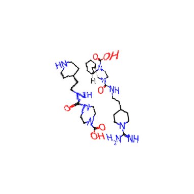 N=C(N)N1CCC(CCNC(=O)N2CCN(C(=O)O)[C@]3(C2)C2CCC[C@H]3CCC2)CC1.O=C(O)N1CCN(C(=O)NCCC2CCNCC2)CC1